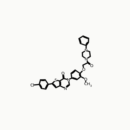 COc1cc(-n2cnc3cc(-c4ccc(Cl)cc4)sc3c2=O)ccc1OCC(=O)N1CCN(c2ccccc2)CC1